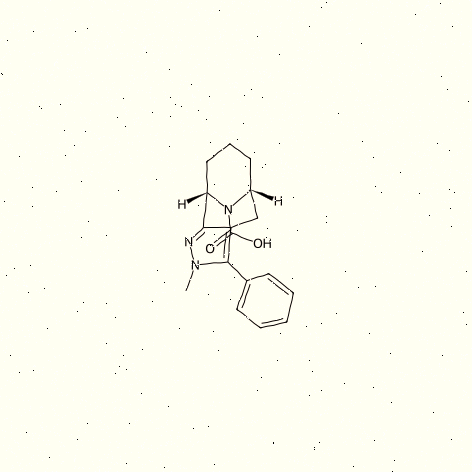 Cn1nc2c(c1-c1ccccc1)C[C@H]1CCC[C@@H]2N1C(=O)O